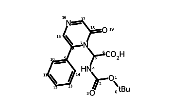 CC(C)(C)OC(=O)NC(C(=O)O)n1c(-c2ccccc2)cncc1=O